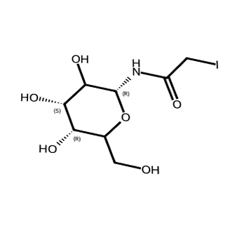 O=C(CI)N[C@@H]1OC(CO)[C@H](O)[C@H](O)C1O